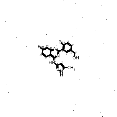 Cc1cc(Nc2nc(-c3cc(CO)ccc3F)nc3cc(F)ccc23)n[nH]1